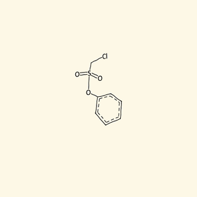 O=S(=O)(CCl)Oc1ccccc1